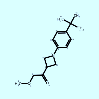 COCC(=O)C1CN(c2ccc(C(C)(C)C)cc2)C1